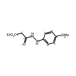 CCOC(=O)CC(=O)NNc1ccc(OC)cc1